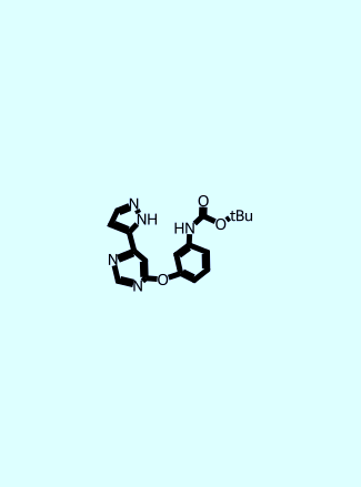 CC(C)(C)OC(=O)Nc1cccc(Oc2cc(-c3ccn[nH]3)ncn2)c1